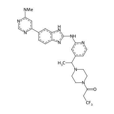 CNc1cc(-c2ccc3nc(Nc4cc(C(C)N5CCN(C(=O)CC(F)(F)F)CC5)ccn4)[nH]c3c2)ncn1